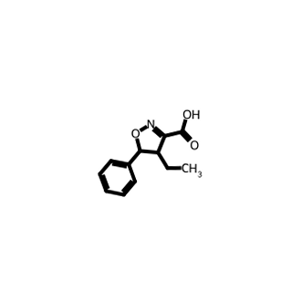 CCC1C(C(=O)O)=NOC1c1ccccc1